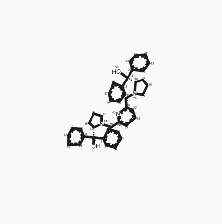 OC(c1ccccc1)(c1ccccc1)[C@@H]1CCCN1Cc1cccc(CN2CCC[C@H]2C(O)(c2ccccc2)c2ccccc2)n1